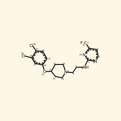 FC(F)(F)c1ccnc(NCCN2CCC(Oc3ccc(Cl)c(Cl)c3)CC2)n1